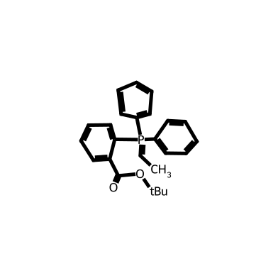 CC=P(c1ccccc1)(c1ccccc1)c1ccccc1C(=O)OC(C)(C)C